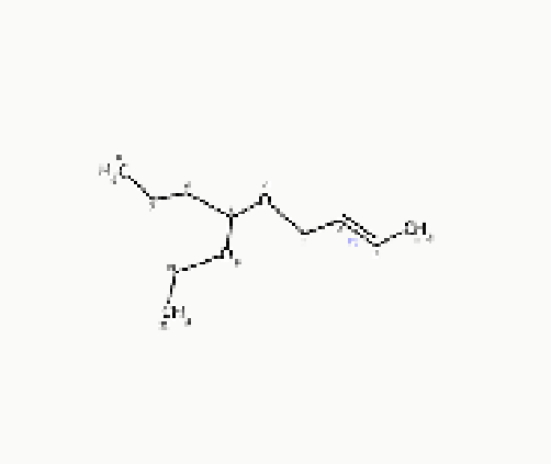 C/C=C/COC(CCC)OCC